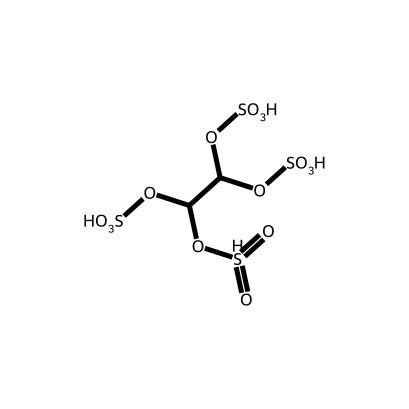 O=[SH](=O)OC(OS(=O)(=O)O)C(OS(=O)(=O)O)OS(=O)(=O)O